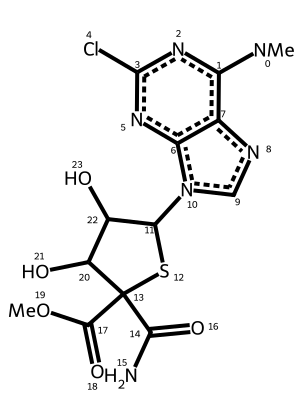 CNc1nc(Cl)nc2c1ncn2C1SC(C(N)=O)(C(=O)OC)C(O)C1O